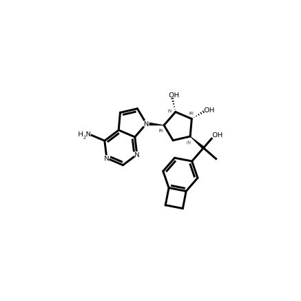 CC(O)(c1ccc2c(c1)CC2)[C@H]1C[C@@H](n2ccc3c(N)ncnc32)[C@H](O)[C@@H]1O